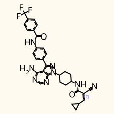 N#C/C(=C/C1CC1)C(=O)NC1CCC(n2nc(-c3ccc(NC(=O)c4ccc(C(F)(F)F)cc4)cc3)c3c(N)ncnc32)CC1